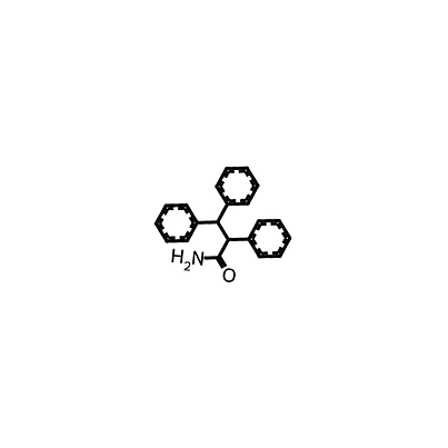 NC(=O)C(c1ccccc1)C(c1ccccc1)c1ccccc1